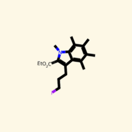 CCOC(=O)c1c(CCCI)c2c(C)c(C)c(C)c(C)c2n1C